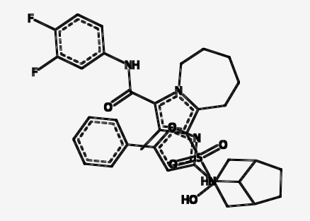 Cc1c(S(=O)(=O)NC2C3CCC2CC(O)(c2cc(-c4ccccc4)on2)C3)c2n(c1C(=O)Nc1ccc(F)c(F)c1)CCCCC2